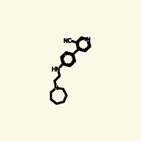 N#Cc1cnccc1-c1ccc(NCCN2CCCCCC2)cc1